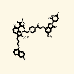 Cc1nn(C)c(C)c1-c1c(Cl)ccc2c(CCCOc3cccc4cc(F)ccc34)c(C(=O)O)n(CCN3CCN(C(=O)COc4cc(N)cc5c4CN(C4CCC(=O)NC4=O)C5=O)CC3)c12